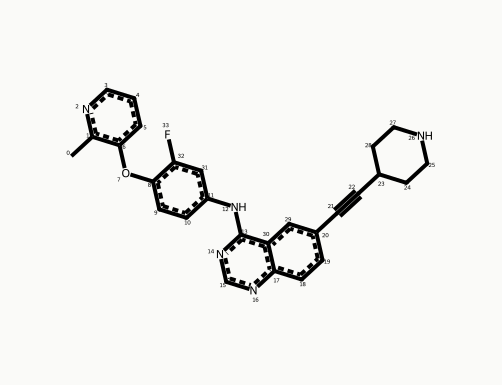 Cc1ncccc1Oc1ccc(Nc2ncnc3ccc(C#CC4CCNCC4)cc23)cc1F